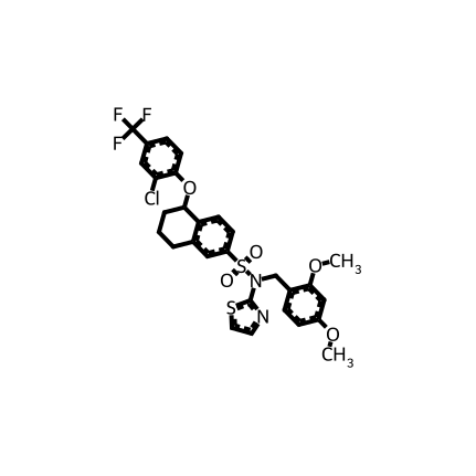 COc1ccc(CN(c2nccs2)S(=O)(=O)c2ccc3c(c2)CCCC3Oc2ccc(C(F)(F)F)cc2Cl)c(OC)c1